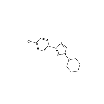 Clc1ccc(-c2ncn(N3CC[CH]CC3)n2)cc1